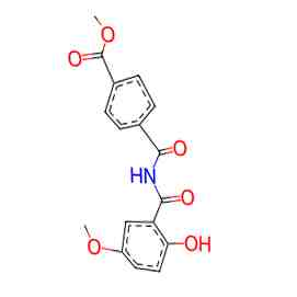 COC(=O)c1ccc(C(=O)NC(=O)c2cc(OC)ccc2O)cc1